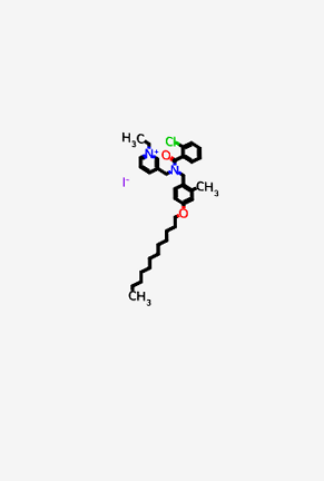 CCCCCCCCCCCCOc1ccc(CN(Cc2ccc[n+](CC)c2)C(=O)c2ccccc2Cl)c(C)c1.[I-]